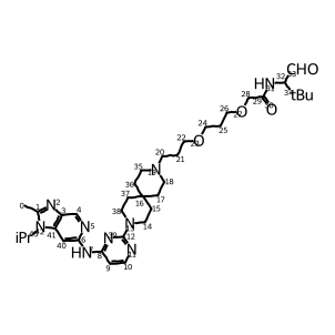 Cc1nc2cnc(Nc3ccnc(N4CCC5(CCN(CCCOCCCOCC(=O)NC(C=O)C(C)(C)C)CC5)CC4)n3)cc2n1C(C)C